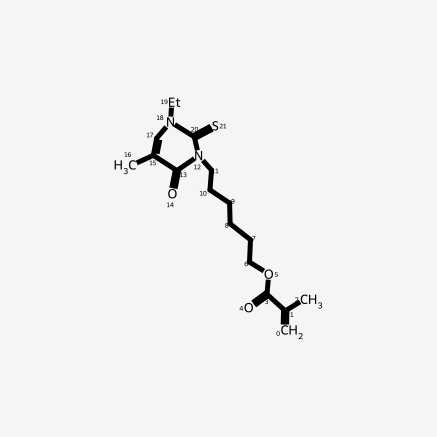 C=C(C)C(=O)OCCCCCCn1c(=O)c(C)cn(CC)c1=S